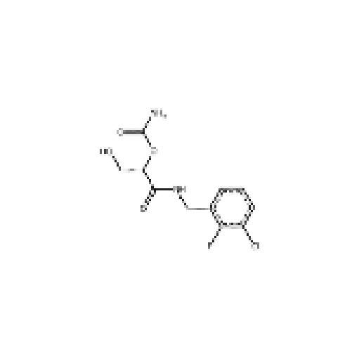 NC(=O)O[C@@H](CO)C(=O)NCc1cccc(Cl)c1F